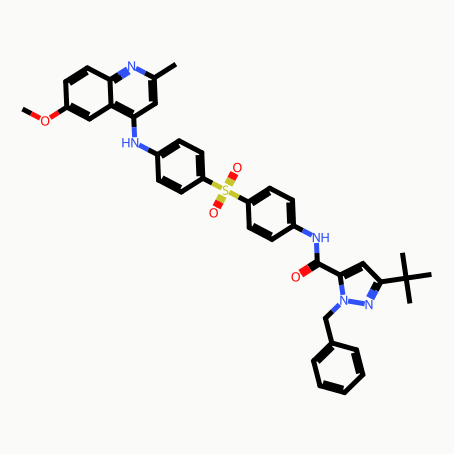 COc1ccc2nc(C)cc(Nc3ccc(S(=O)(=O)c4ccc(NC(=O)c5cc(C(C)(C)C)nn5Cc5ccccc5)cc4)cc3)c2c1